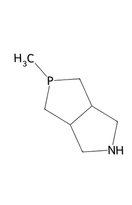 CP1CC2CNCC2C1